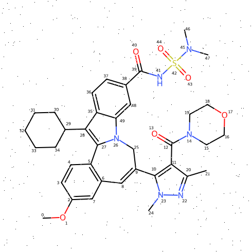 COc1ccc2c(c1)C=C(c1c(C(=O)N3CCOCC3)c(C)nn1C)Cn1c-2c(C2CCCCC2)c2ccc(C(=O)NS(=O)(=O)N(C)C)cc21